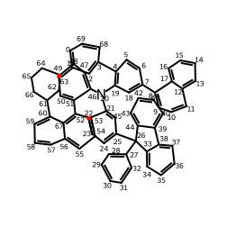 c1ccc(-c2ccc(-c3cccc4ccccc34)cc2N(c2cccc(C3(c4ccccc4)c4ccccc4-c4ccccc43)c2)c2ccccc2-c2cccc3cccc(C4CCCCC4)c23)cc1